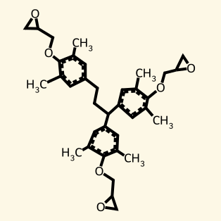 Cc1cc(CCC(c2cc(C)c(OCC3CO3)c(C)c2)c2cc(C)c(OCC3CO3)c(C)c2)cc(C)c1OCC1CO1